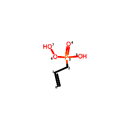 C=CCP(=O)(O)OO